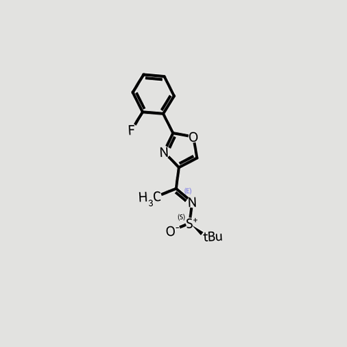 C/C(=N\[S@+]([O-])C(C)(C)C)c1coc(-c2ccccc2F)n1